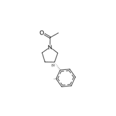 CC(=O)N1CC[C@@H](c2[c]cccc2)C1